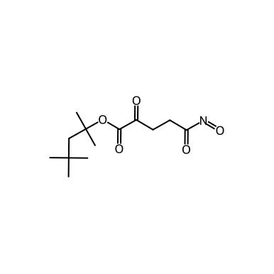 CC(C)(C)CC(C)(C)OC(=O)C(=O)CCC(=O)N=O